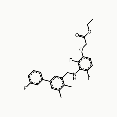 CCOC(=O)COc1ccc(F)c(NCc2cc(-c3cccc(F)c3)cc(C)c2C)c1F